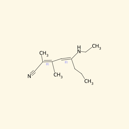 CCC/C(=C\C(C)=C(/C)C#N)NCC